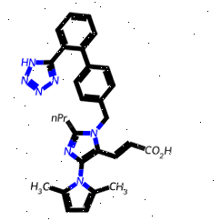 CCCc1nc(-n2c(C)ccc2C)c(C=CC(=O)O)n1Cc1ccc(-c2ccccc2-c2nnn[nH]2)cc1